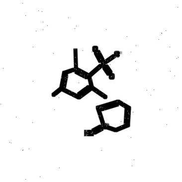 Cc1cc(C)c(S(=O)(=O)[O-])c(C)c1.N=[N+]1C=CC=CC1